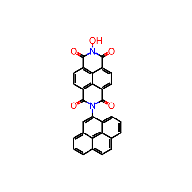 O=C1c2ccc3c4c(ccc(c24)C(=O)N1O)C(=O)N(c1cc2cccc4ccc5cccc1c5c42)C3=O